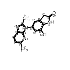 Cc1nc2ccc(C(F)(F)F)nc2n1-c1cc(Cl)c2c(c1)CC(=O)N2